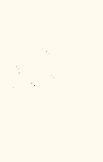 Cn1ccc2nc(Cl)nc(NCc3c(Cl)cccc3Cl)c21